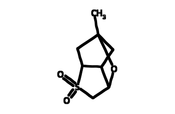 CC12CC3C(CS(=O)(=O)C3C1)O2